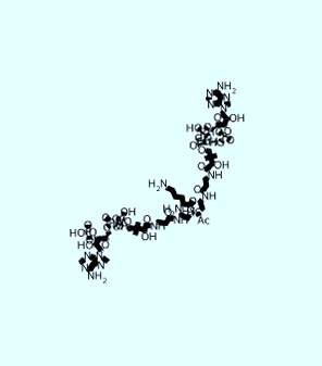 CC(=O)[SH](CCNC(=O)CCNC(=O)C(O)C(C)(C)COP(=O)(O)OP(=O)(O)OC[C@H]1O[C@@H](n2cnc3c(N)ncnc32)[C@H](O)[C@@H]1OP(=O)(O)O)[SH](CCNC(=O)CCNC(=O)C(O)C(C)(C)COP(=O)(O)OP(=O)(O)OC[C@H]1O[C@@H](n2cnc3c(N)ncnc32)[C@H](O)[C@@H]1OP(=O)(O)O)C(=O)[C@@H](N)CCCCN